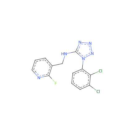 Fc1ncccc1CNc1nnnn1-c1cccc(Cl)c1Cl